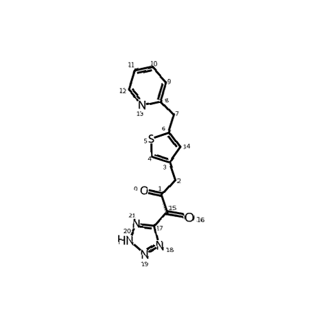 O=C(Cc1csc(Cc2ccccn2)c1)C(=O)c1nn[nH]n1